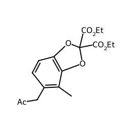 CCOC(=O)C1(C(=O)OCC)Oc2ccc(CC(C)=O)c(C)c2O1